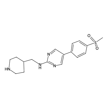 CS(=O)(=O)c1ccc(-c2cnc(NCC3CCNCC3)nc2)cc1